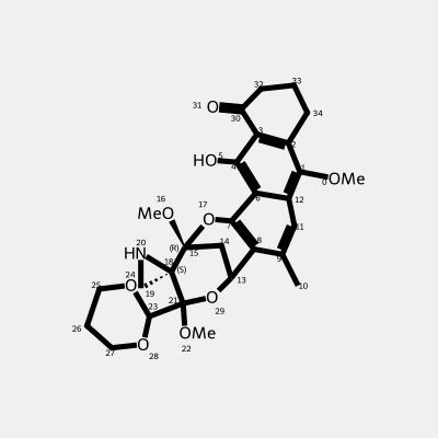 COc1c2c(c(O)c3c4c(c(C)cc13)C1C[C@@](OC)(O4)[C@@]3(CN3)C(OC)(C3OCCCO3)O1)C(=O)CCC2